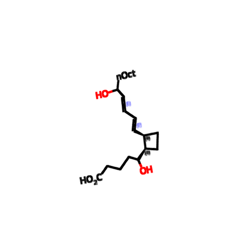 CCCCCCCCC(O)/C=C/C=C/[C@H]1CC[C@H]1C(O)CCCC(=O)O